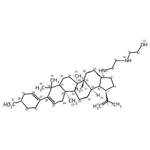 C=C(C)[C@@H]1CC[C@]2(NCCNCCO)CC[C@]3(C)[C@H](CCC4[C@@]5(C)CC=C(C6=CCC(C(=O)O)CC6)C(C)(C)C5CC[C@]43C)C12